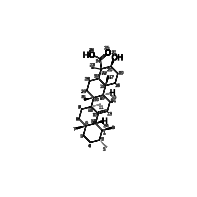 C[C@H]1[C@H](C)CC[C@]2(C)CC[C@]3(C)C(=CC[C@@H]4[C@@]5(C)CC[C@H](O)C(C)(C(=O)O)C5CC[C@]43C)[C@H]12